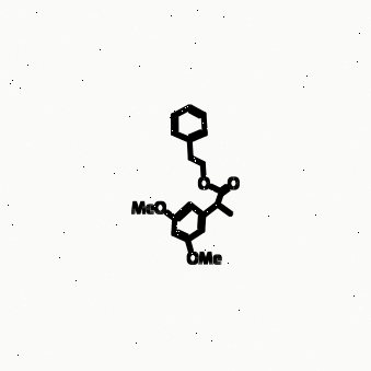 COc1cc(OC)cc(C(C)C(=O)OCCc2ccccc2)c1